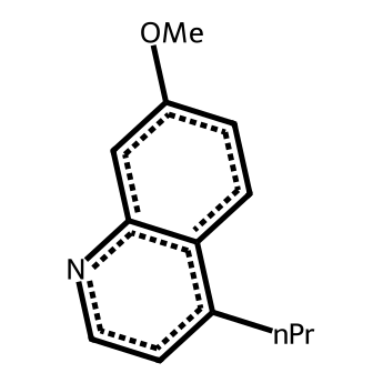 C[CH]Cc1ccnc2cc(OC)ccc12